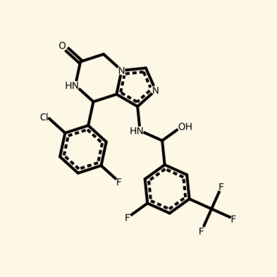 O=C1Cn2cnc(NC(O)c3cc(F)cc(C(F)(F)F)c3)c2C(c2cc(F)ccc2Cl)N1